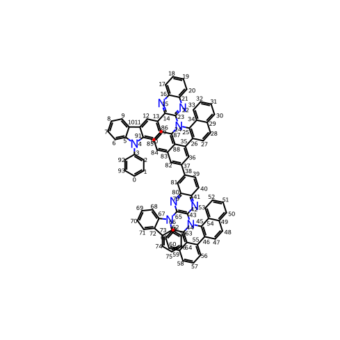 c1ccc(-n2c3ccccc3c3cc(-c4nc5ccccc5nc4N4c5c(ccc6ccccc56)-c5cc(-c6ccc7nc(N8c9c(ccc%10ccccc9%10)-c9cccc%10cccc8c9%10)c(-n8c9ccccc9c9ccccc98)nc7c6)cc6cccc4c56)ccc32)cc1